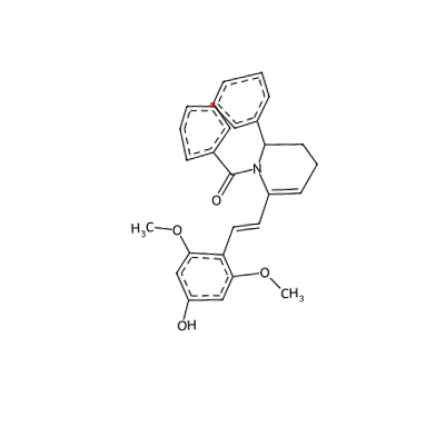 COc1cc(O)cc(OC)c1C=CC1=CCCC(c2ccccc2)N1C(=O)c1ccccc1